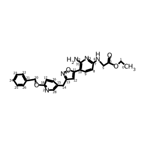 CCOC(=O)CNc1ccc(-c2cc(Cc3ccc(OCc4ccccc4)nc3)no2)c(N)n1